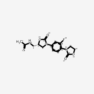 CC(=S)NC[C@H]1CN(c2ccc(N3CCOC3=O)c(F)c2)C(=O)O1